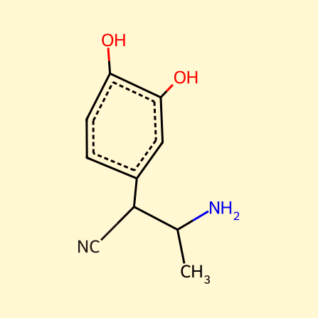 CC(N)C(C#N)c1ccc(O)c(O)c1